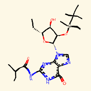 CC[C@H]1O[C@@H](n2cnc3c(=O)[nH]c(NC(=O)C(C)C)nc32)[C@H](O[Si](C)(C)C(C)(C)C)[C@@H]1O